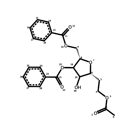 CC(=O)OCC[C@H]1O[C@@H](COC(=O)c2ccccc2)C(OC(=O)c2ccccc2)C1O